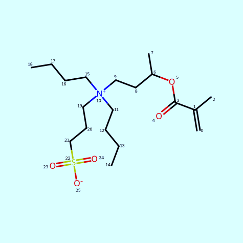 C=C(C)C(=O)OC(C)CC[N+](CCCC)(CCCC)CCCS(=O)(=O)[O-]